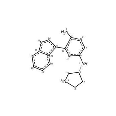 Nc1ncc(N[C@@H]2CCNC2)nc1-c1cnc2ccccn12